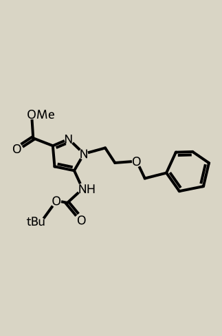 COC(=O)c1cc(NC(=O)OC(C)(C)C)n(CCOCc2ccccc2)n1